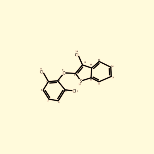 Clc1cccc(Cl)c1Oc1sc2ccccc2c1Cl